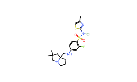 Cc1csc(N(Cl)S(=O)(=O)c2ccc(NCC34CCCN3CC(C)(C)C4)cc2F)n1